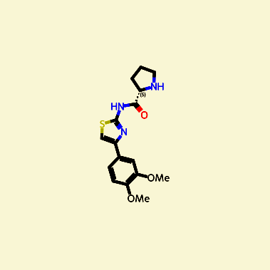 COc1ccc(-c2csc(NC(=O)[C@@H]3CCCN3)n2)cc1OC